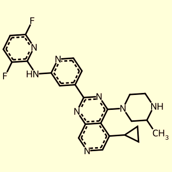 CC1CN(c2nc(-c3ccnc(Nc4nc(F)ccc4F)c3)nc3cncc(C4CC4)c23)CCN1